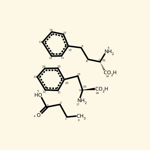 CCCC(=O)O.N[C@@H](CCc1ccccc1)C(=O)O.N[C@@H](Cc1ccccc1)C(=O)O